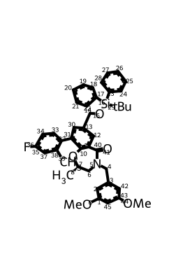 COc1cc(CN2C[C@@H](C)Oc3c(cc(CO[Si](c4ccccc4)(c4ccccc4)C(C)(C)C)cc3-c3ccc(F)cc3C)C2=O)cc(OC)c1